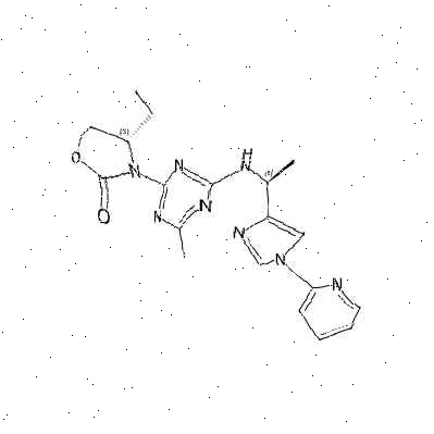 CC[C@H]1COC(=O)N1c1nc(C)nc(N[C@@H](C)c2cn(-c3ccccn3)cn2)n1